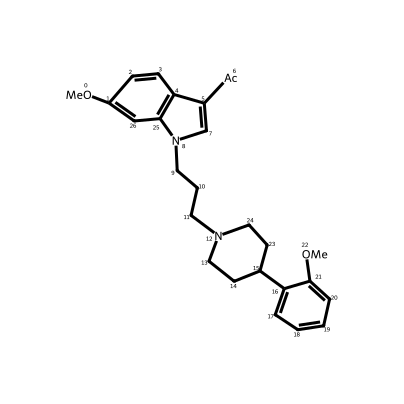 COc1ccc2c(C(C)=O)cn(CCCN3CCC(c4ccccc4OC)CC3)c2c1